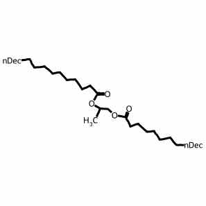 CCCCCCCCCCCCCCCCCCCC(=O)OC(C)COC(=O)CCCCCCCCCCCCCCCCC